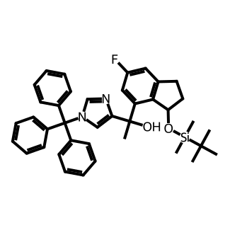 CC(O)(c1cn(C(c2ccccc2)(c2ccccc2)c2ccccc2)cn1)c1cc(F)cc2c1C(O[Si](C)(C)C(C)(C)C)CC2